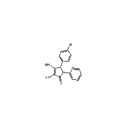 O=CC1=C(O)C(=O)N(c2ccccn2)C1c1ccc(Br)cc1